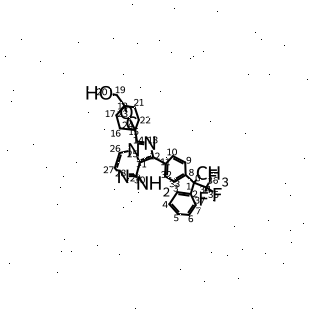 CC(c1ccccc1)(c1ccc(-c2nc(C34CCC(CO)(CC3)OC4)n3ccnc(N)c23)cc1)C(F)(F)F